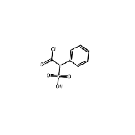 O=C(Cl)C(c1ccccc1)S(=O)(=O)O